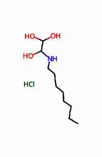 CCCCCCCCNC(O)C(O)O.Cl